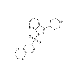 O=S(=O)(c1ccc2c(c1)OCCO2)n1cc(C2CCNCC2)c2cccnc21